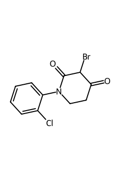 O=C1CCN(c2ccccc2Cl)C(=O)C1Br